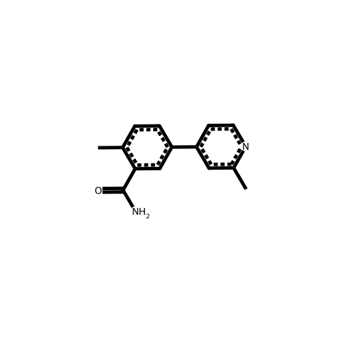 Cc1cc(-c2ccc(C)c(C(N)=O)c2)ccn1